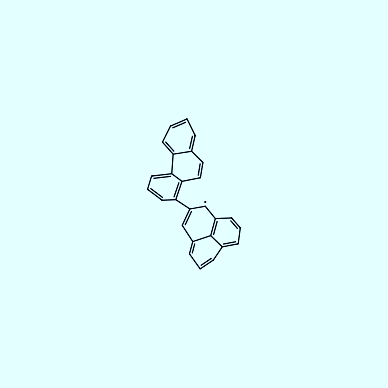 [CH]1C(c2cccc3c2ccc2ccccc23)=Cc2cccc3cccc1c23